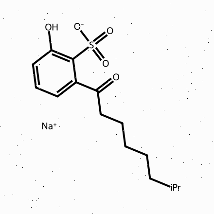 CC(C)CCCCCC(=O)c1cccc(O)c1S(=O)(=O)[O-].[Na+]